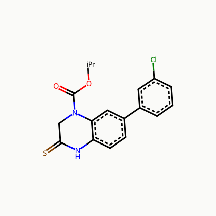 CC(C)OC(=O)N1CC(=S)Nc2ccc(-c3cccc(Cl)c3)cc21